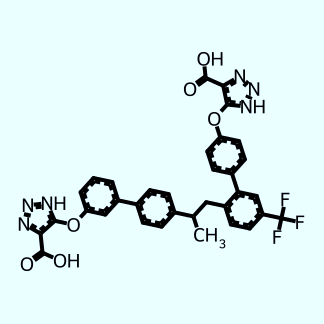 CC(Cc1ccc(C(F)(F)F)cc1-c1ccc(Oc2[nH]nnc2C(=O)O)cc1)c1ccc(-c2cccc(Oc3[nH]nnc3C(=O)O)c2)cc1